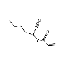 C=CC(=O)OC(C#N)CCCC